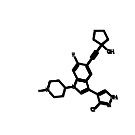 CN1CCC(n2cc(-c3c[nH]nc3Cl)c3cc(C#CC4(O)CCCC4)c(F)cc32)CC1